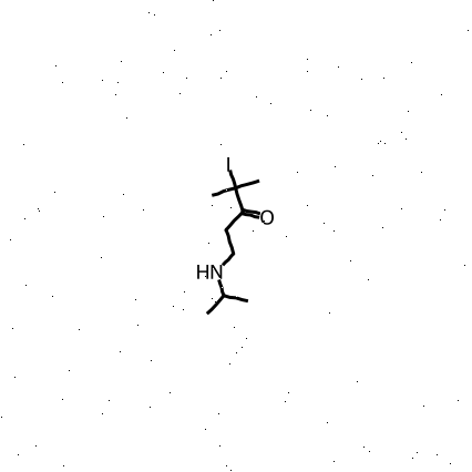 CC(C)NCCC(=O)C(C)(C)I